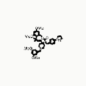 COc1cc(CN2CCC3(CC2)C2=CC(C)(C)c4c(cc(OC)cc4OC)CN2C(=O)N3Cc2ccc(-n3cccn3)cc2)cc(OC)c1